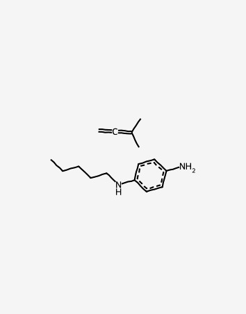 C=C=C(C)C.CCCCCNc1ccc(N)cc1